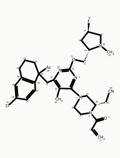 C=CC(=O)N1CCN(c2nc(OC[C@@H]3C[C@@H](F)CN3C)nc(CC3(C(C)=O)CCCc4cc(Cl)ccc43)c2C)C[C@@H]1CC#N